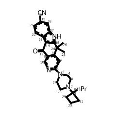 CCCC1(N2CCN(c3cc4c(cn3)C(=O)c3c([nH]c5cc(C#N)ccc35)C4(C)C)CC2)CCC1